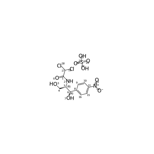 O=C(N[C@H](CO)[C@H](O)c1ccc([N+](=O)[O-])cc1)C(Cl)Cl.O=S(=O)(O)O